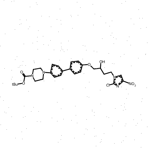 CC(C)(C)OC(=O)N1CCN(c2ccc(-c3ccc(OCC(O)CCn4cc([N+](=O)[O-])nc4Cl)cc3)cc2)CC1